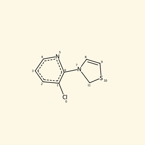 Clc1cccnc1N1C=CSC1